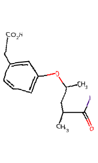 CC(CC(C)C(=O)I)Oc1cccc(CC(=O)O)c1